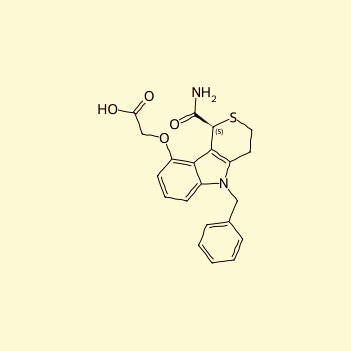 NC(=O)[C@H]1SCCc2c1c1c(OCC(=O)O)cccc1n2Cc1ccccc1